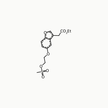 CCOC(=O)Cc1coc2ccc(OCCOS(C)(=O)=O)cc12